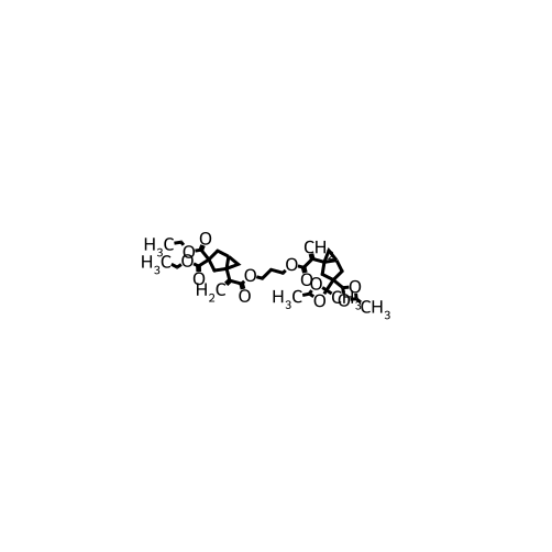 C=C(C(=O)OCCCOC(=O)C(=C)C12CC1CC(C1OC(C)O1)(C1(C)OC(C)O1)C2)C12CC1CC(C(=O)OCC)(C(=O)OCC)C2